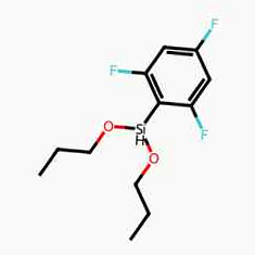 CCCO[SiH](OCCC)c1c(F)cc(F)cc1F